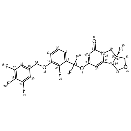 O=c1nc(OC(F)(F)c2cccc(OCc3cc(F)c(F)c(F)c3)c2F)cc2n1C[C@@H]1COCN21